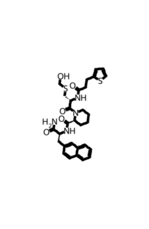 NC(=O)[C@H](Cc1ccc2ccccc2c1)NC(=O)[C@@H]1CCCCN1C(=O)[C@H](CSCO)NC(=O)CCc1cccs1